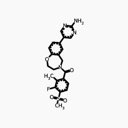 Cc1c(C(=O)N2CCOc3ccc(-c4cnc(N)nc4)cc3C2)ccc(S(C)(=O)=O)c1F